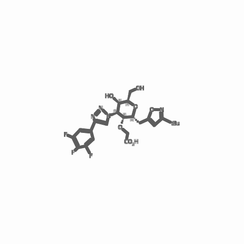 CC(C)(C)c1cc(C[C@H]2O[C@H](CO)[C@H](O)[C@H](n3cc(-c4cc(F)c(F)c(F)c4)nn3)[C@H]2OCC(=O)O)on1